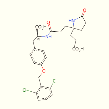 O=C(O)CCC1(CCC(=O)N[C@@H](Cc2ccc(OCc3c(Cl)cccc3Cl)cc2)C(=O)O)CCC(=O)N1